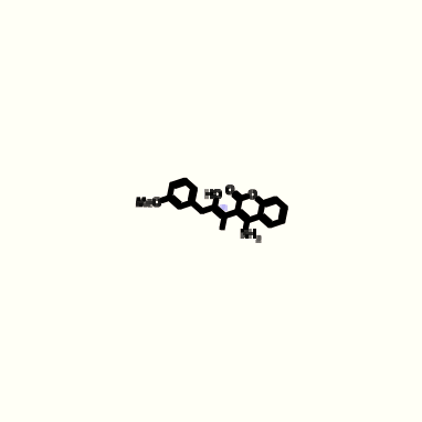 COc1cccc(C/C(O)=C(\C)c2c(N)c3ccccc3oc2=O)c1